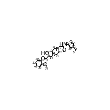 CCc1csc(NC(=O)CN2CCN(CC(O)COc3ccccc3OC)CC2)c1